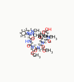 CNN(C)Cc1cc2ccccc2n1CCC(=O)NCC(=O)N(CCOC)CC(=O)N(CCOC)CC(=O)N(CCOC)CCC(=O)N(C)[C@@H](C)CC(=O)O